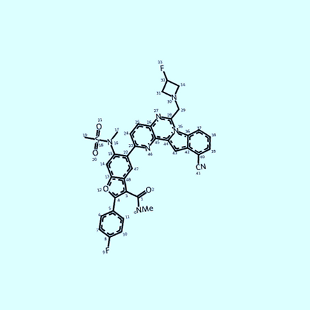 CNC(=O)c1c(-c2ccc(F)cc2)oc2cc(N(C)S(C)(=O)=O)c(-c3ccc4nc(CN5CC(F)C5)n5c6cccc(C#N)c6cc5c4n3)cc12